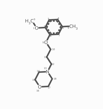 COc1ccc(C)cc1OCCCN1CCOCC1